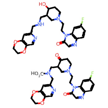 O=C1CCN(CCn2c(=O)cnc3ccc(F)cc32)CC1CN(Cc1cc2c(cn1)OCCO2)C(=O)O.O=c1cnc2ccc(F)cc2n1CCN1CCC(O)C(CNCc2cc3c(cn2)OCCO3)C1